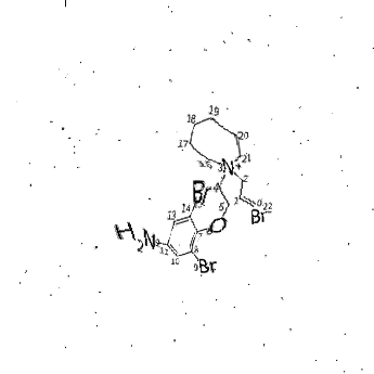 C=CC[N+]1(CCOc2c(Br)cc(N)cc2Br)CCCCCC1.[Br-]